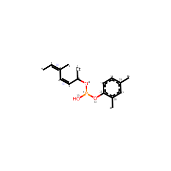 C/C=C(C)\C=C/C(CC)OP(O)Oc1ccc(C)cc1C